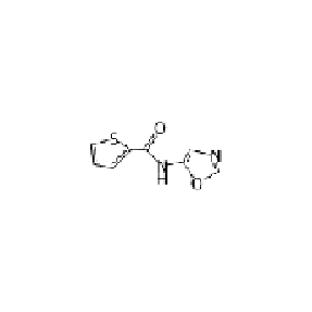 O=C(Nc1cnco1)c1cccs1